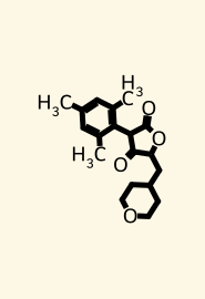 Cc1cc(C)c(C2C(=O)OC(CC3CCOCC3)C2=O)c(C)c1